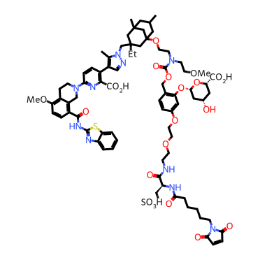 CCC1(Cn2ncc(-c3ccc(N4CCc5c(OC)ccc(C(=O)Nc6nc7ccccc7s6)c5C4)nc3C(=O)O)c2C)CC2(C)CC(C)CC(OCCN(CCOC)C(=O)OCc3ccc(OCCOCCNC(=O)[C@H](CS(=O)(=O)O)NC(=O)CCCCCN4C(=O)C=CC4=O)cc3O[C@H]3C[C@@H](O)C[C@@H](C(=O)O)O3)(C2)C1